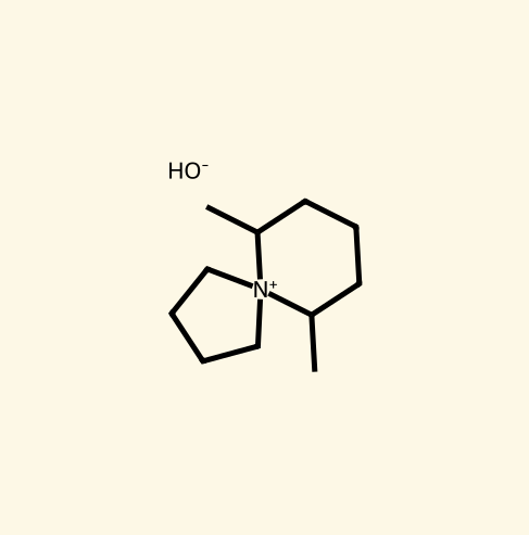 CC1CCCC(C)[N+]12CCCC2.[OH-]